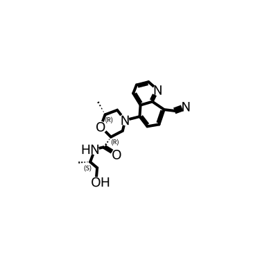 C[C@@H]1CN(c2ccc(C#N)c3ncccc23)C[C@H](C(=O)N[C@@H](C)CO)O1